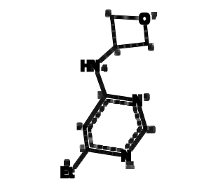 CCc1cc(NC2COC2)ncn1